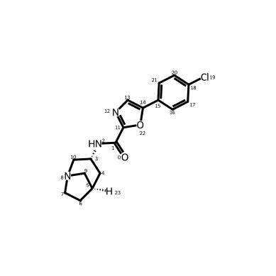 O=C(N[C@@H]1C[C@H]2CCN(C2)C1)c1ncc(-c2ccc(Cl)cc2)o1